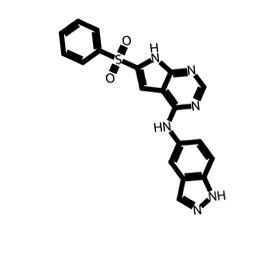 O=S(=O)(c1ccccc1)c1cc2c(Nc3ccc4[nH]ncc4c3)ncnc2[nH]1